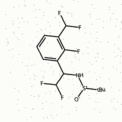 CC(C)(C)[S+]([O-])NC(c1cccc(C(F)F)c1F)C(F)F